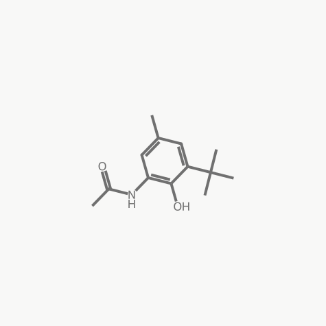 CC(=O)Nc1cc(C)cc(C(C)(C)C)c1O